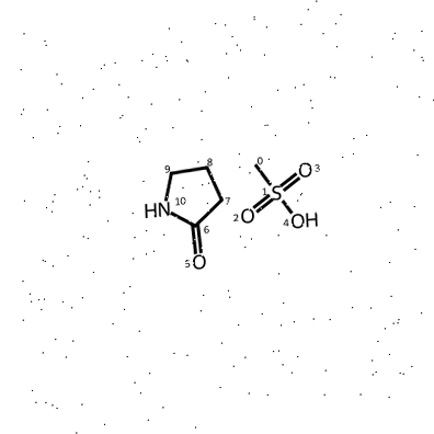 CS(=O)(=O)O.O=C1CCCN1